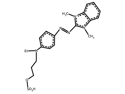 CCN(CCCOS(=O)(=O)O)c1ccc(N=Nc2n(C)c3ccccc3[n+]2C)cc1